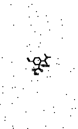 C=C[C@@H]1CC[C@@H](C(C)N(C)C)[C@@](NC(C)=O)(C(=O)NC(C)(C)C)C1